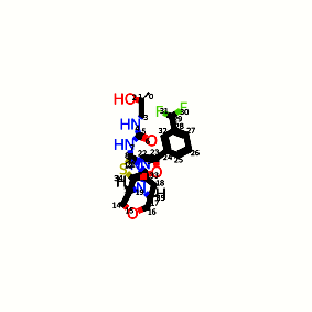 C[C@@H](O)CNC(=O)Nc1nc2c(s1)[C@@H]1COC[C@H](C2)N1c1ncc(-c2cccc(C(F)F)c2)o1